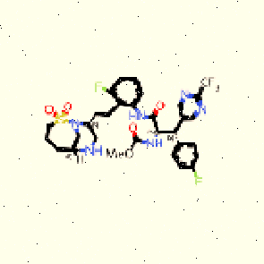 COC(=O)N[C@H](C(=O)Nc1cccc(F)c1CC[C@H]1CN[C@@H]2CCCS(=O)(=O)N1C2)[C@@H](c1ccc(F)cc1)c1cnc(C(F)(F)F)nc1